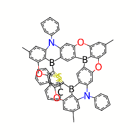 Cc1cc2c3c(c1)Oc1cc4c(cc1B3c1cc3c(cc1O2)N(c1ccccc1)c1cc(C)cc2c1B3c1sc3ccccc3c1O2)B1c2sc3ccccc3c2Oc2cc(C)cc(c21)N4c1ccccc1